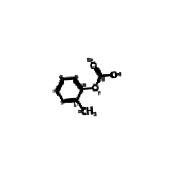 Cc1ccccc1OC([O])=O